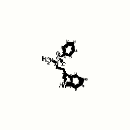 NN(CCc1c[nH]c2ccccc12)S(=O)(=O)c1ccccc1